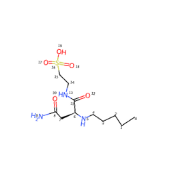 CCCCCN[C@@H](CC(N)=O)C(=O)NCCS(=O)(=O)O